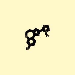 CC(C)n1ncnc1-c1nc2c(s1)CCOc1cc(Br)ccc1-2